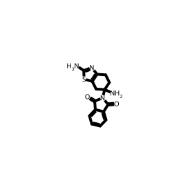 Nc1nc2c(s1)CC(N)(N1C(=O)c3ccccc3C1=O)CC2